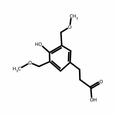 COCc1cc(CCC(=O)O)cc(COC)c1O